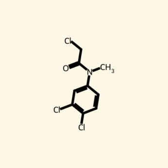 CN(C(=O)CCl)c1ccc(Cl)c(Cl)c1